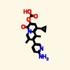 Cc1cn2c(=O)c(OC(=O)O)cc(C3CC3)c2c(C)c1-c1ccc(N)nc1